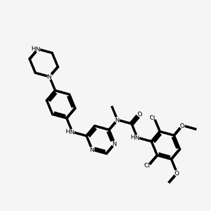 COc1cc(OC)c(Cl)c(NC(=O)N(C)c2cc(Nc3ccc(N4CCNCC4)cc3)ncn2)c1Cl